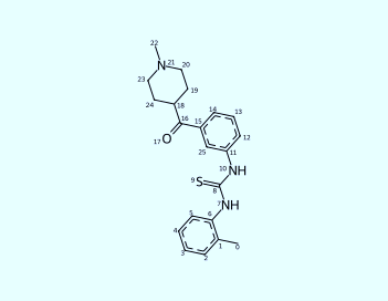 Cc1ccccc1NC(=S)Nc1cccc(C(=O)C2CCN(C)CC2)c1